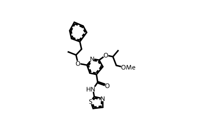 COCC(C)Oc1cc(C(=O)Nc2nccs2)cc(OC(C)Cc2ccccc2)n1